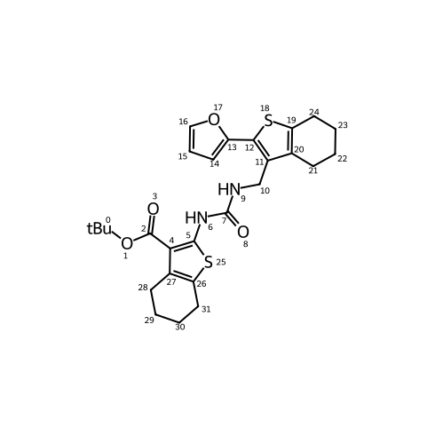 CC(C)(C)OC(=O)c1c(NC(=O)NCc2c(-c3ccco3)sc3c2CCCC3)sc2c1CCCC2